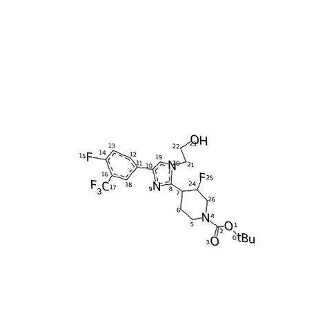 CC(C)(C)OC(=O)N1CCC(c2nc(-c3ccc(F)c(C(F)(F)F)c3)cn2CCO)C(F)C1